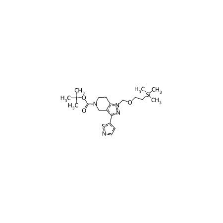 CC(C)(C)OC(=O)N1CCc2c(c(-c3ccns3)nn2COCC[Si](C)(C)C)C1